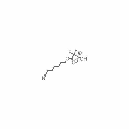 N#CCCCCCCOC(=O)C(F)(F)S(=O)(=O)O